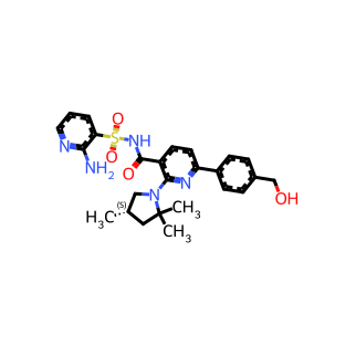 C[C@@H]1CN(c2nc(-c3ccc(CO)cc3)ccc2C(=O)NS(=O)(=O)c2cccnc2N)C(C)(C)C1